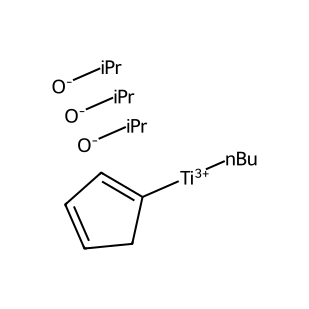 CC(C)[O-].CC(C)[O-].CC(C)[O-].CCC[CH2][Ti+3][C]1=CC=CC1